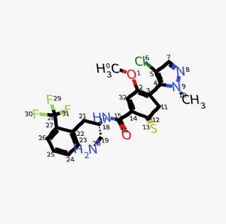 COC1=C(c2c(Cl)cnn2C)CC(=S)C(C(=O)N[C@H](CN)Cc2ccccc2C(F)(F)F)=C1